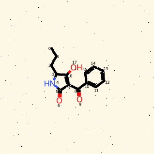 CCCC1NC(=O)C(C(=O)c2ccccc2)=C1O